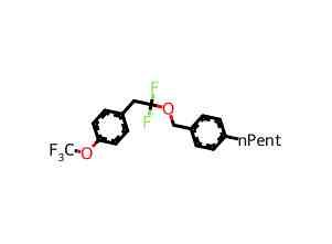 CCCCCc1ccc(COC(F)(F)Cc2ccc(OC(F)(F)F)cc2)cc1